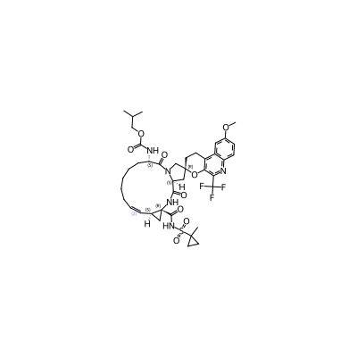 COc1ccc2nc(C(F)(F)F)c3c(c2c1)CC[C@]1(C[C@H]2C(=O)N[C@]4(C(=O)NS(=O)(=O)C5(C)CC5)C[C@H]4/C=C\CCCCC[C@H](NC(=O)OCC(C)C)C(=O)N2C1)O3